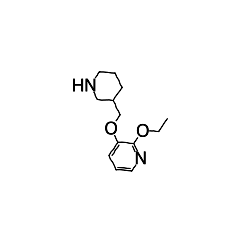 CCOc1ncccc1OCC1CCCNC1